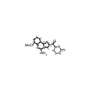 COc1cccc2c1nc(N)n1cc(C(=O)N3CCCC(C)C3)nc21